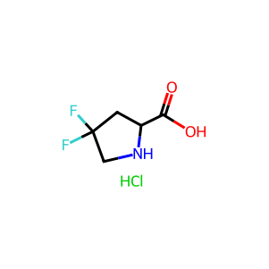 Cl.O=C(O)C1CC(F)(F)CN1